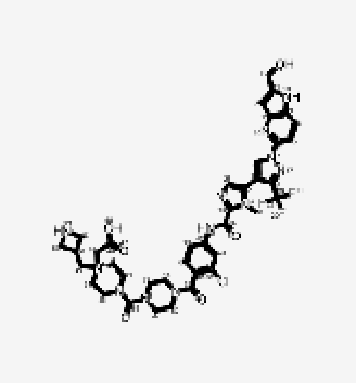 Cn1c(-c2cn(-c3ccc4[nH]c(CO)cc4n3)nc2C(F)(F)F)cnc1C(=O)Nc1ccc(C(=O)N2CCN(C(=O)N3CC[N+](CC(=O)O)(CC4CNC4)CC3)CC2)c(Cl)c1